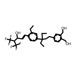 CCc1cc(C(CC)(CC)CCc2ccc(CO)c(CO)c2)ccc1C=CC(O)C(C(F)(F)F)C(F)(F)F